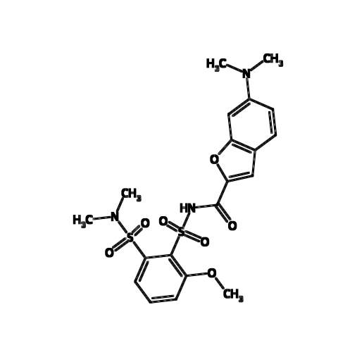 COc1cccc(S(=O)(=O)N(C)C)c1S(=O)(=O)NC(=O)c1cc2ccc(N(C)C)cc2o1